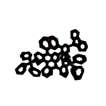 c1ccc(-c2cc(-n3c4ccccc4c4ccccc43)cc(-c3ccccc3)c2-c2cc3c4c(c2)N(c2ccccc2)c2ccc([Si](c5ccccc5)(c5ccccc5)c5ccccc5)cc2B4c2ccccc2N3c2cccc([Si](c3ccccc3)(c3ccccc3)c3ccccc3)c2)cc1